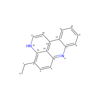 CCc1ccc2nc3ccccc3c3c2c1NC=C3